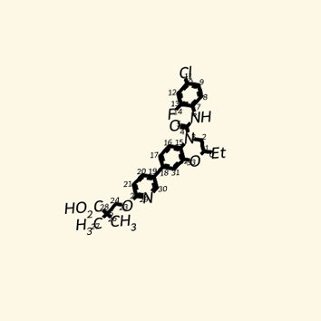 CCC1CN(C(=O)Nc2ccc(Cl)cc2F)c2ccc(-c3ccc(OCC(C)(C)C(=O)O)nc3)cc2O1